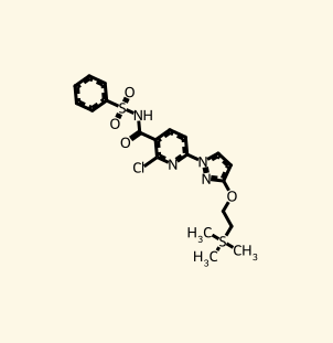 CS(C)(C)CCOc1ccn(-c2ccc(C(=O)NS(=O)(=O)c3ccccc3)c(Cl)n2)n1